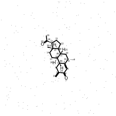 C=C1C[C@H]2C(=CC1=O)[C@@H](C)C[C@@H]1[C@@H]2CC[C@]2(C)[C@@H](C(C)=O)CC[C@@H]12